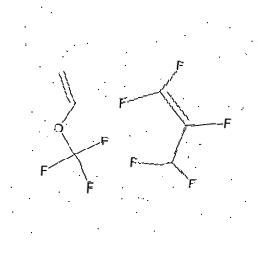 C=COC(F)(F)F.FC(F)=C(F)C(F)F